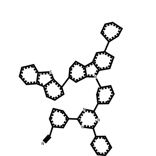 N#Cc1cccc(-c2nc(-c3ccccc3)nc(-c3cccc(-n4c5ccc(-c6ccccc6)cc5c5ccc(-c6cccc7c6sc6ccccc67)cc54)c3)n2)c1